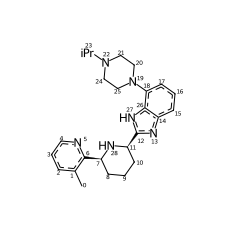 Cc1cccnc1[C@@H]1CCC[C@H](c2nc3cccc(N4CCN(C(C)C)CC4)c3[nH]2)N1